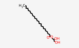 CCCCCCCCCCCCCCCCCCCCCCCCC(=O)OCC(O)CO